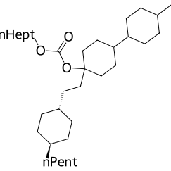 CCCCCCCOC(=O)OC1(CC[C@H]2CC[C@H](CCCCC)CC2)CCC(C2CCC(C)CC2)CC1